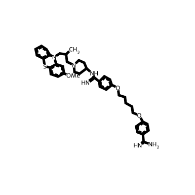 COc1ccc2c(c1)N(CC(C)CN1CCC(NC(=N)c3ccc(OCCCCCOc4ccc(C(=N)N)cc4)cc3)CC1)c1ccccc1S2